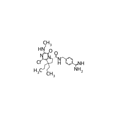 CCCC1(CCC)C[C@@H](C(=O)NCc2ccc(C(=N)N)cc2)n2c1c(Cl)nc(NCC)c2=O